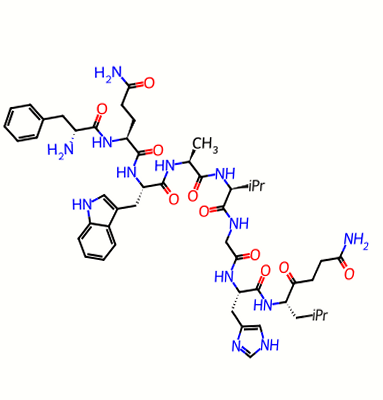 CC(C)C[C@H](NC(=O)[C@H](Cc1c[nH]cn1)NC(=O)CNC(=O)[C@@H](NC(=O)[C@H](C)NC(=O)[C@H](Cc1c[nH]c2ccccc12)NC(=O)[C@H](CCC(N)=O)NC(=O)[C@H](N)Cc1ccccc1)C(C)C)C(=O)CCC(N)=O